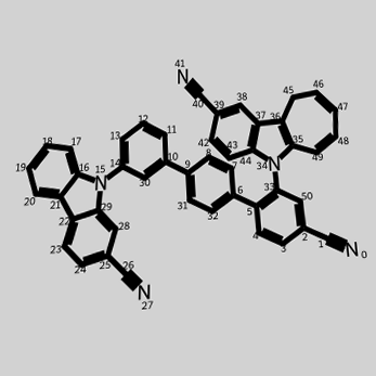 N#Cc1ccc(-c2ccc(-c3cccc(-n4c5ccccc5c5ccc(C#N)cc54)c3)cc2)c(-n2c3c(c4cc(C#N)ccc42)CC=CC=C3)c1